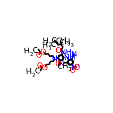 C=CC(=O)OCCCCN(CCCCOC(=O)C=C)c1cc(NC(=O)CC(C)CC(C)(C)C)c(Nc2c(C#N)cc([N+](=O)[O-])cc2C#N)cc1OC